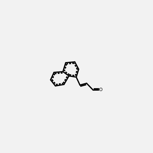 O=C/C=C/c1cccc2ccccc12